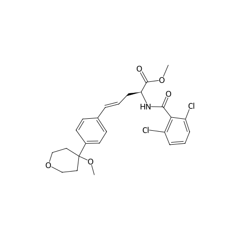 COC(=O)[C@H](CC=Cc1ccc(C2(OC)CCOCC2)cc1)NC(=O)c1c(Cl)cccc1Cl